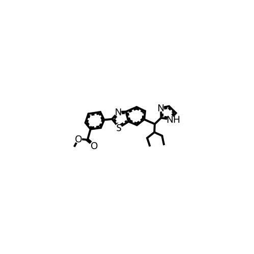 CCC(CC)C(c1ccc2nc(-c3cccc(C(=O)OC)c3)sc2c1)c1ncc[nH]1